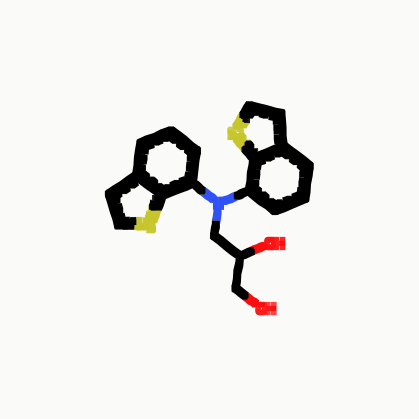 OCC(O)CN(c1cccc2ccsc12)c1cccc2ccsc12